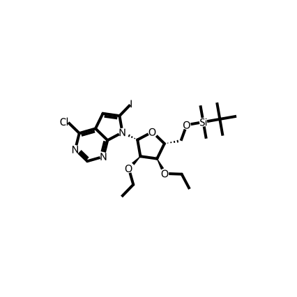 CCO[C@@H]1[C@H](OCC)[C@@H](CO[Si](C)(C)C(C)(C)C)O[C@H]1n1c(I)cc2c(Cl)ncnc21